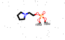 CCCCOP(=O)(OCCCC)OCCN1CCCC1